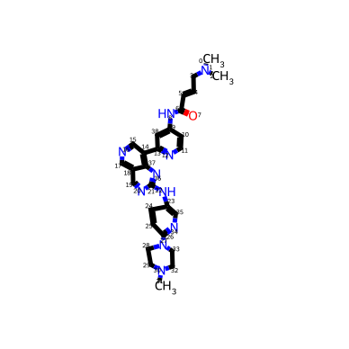 CN(C)CC=CC(=O)Nc1ccnc(-c2cncc3cnc(Nc4ccc(N5CCN(C)CC5)nc4)nc23)c1